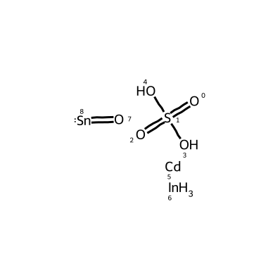 O=S(=O)(O)O.[Cd].[InH3].[O]=[Sn]